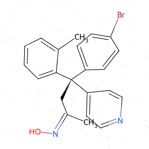 C/C(C[C@](c1ccncc1)(c1ccc(Br)cc1)c1ccccc1C)=N/O